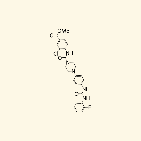 COC(=O)c1ccc(NC(=O)N2CCN(c3ccc(NC(=O)Nc4ccccc4F)cc3)CC2)c(Cl)c1